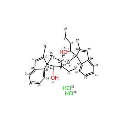 CCCC(O)[C]1([Zr][Si](C)(C)[Zr][C]2(C(O)CCC)C(C)=Cc3ccccc32)C(C)=Cc2ccccc21.Cl.Cl